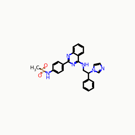 CS(=O)(=O)Nc1ccc(-c2nc(NCC(c3ccccc3)n3ccnc3)c3ccccc3n2)cc1